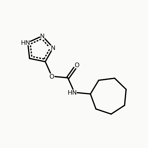 O=C(NC1CCCCCC1)Oc1c[nH]nn1